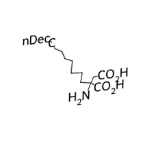 CCCCCCCCCCCCCCCCCCC(N)(CC(=O)O)C(=O)O